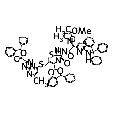 COC(C)(C)ON=C(C(=O)N[C@@H]1C(=O)N2C(C(=O)OC(c3ccccc3)c3ccccc3)=C(CSc3cc(C)nc4nc(C(=O)OC(c5ccccc5)c5ccccc5)nn34)CS[C@H]12)c1csc(NC(c2ccccc2)(c2ccccc2)c2ccccc2)n1